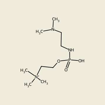 CN(C)CCNP(=O)(O)OCC[N+](C)(C)C